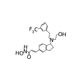 O=C(C=Cc1ccc2c(c1)CCC2N(CCO)CCc1cccc(C(F)(F)F)c1)NO